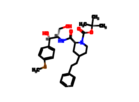 CSc1ccc([C@H](O)[C@H](CO)NC(=O)C2CC(CCc3ccccc3)CCN2C(=O)OC(C)(C)C)cc1